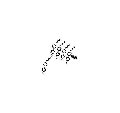 CCCCC[C@H]1CC[C@H](c2ccc([S])cc2)CC1.CCCCC[C@H]1CC[C@H](c2ccc([S])cc2)CC1.CCCCC[C@H]1CC[C@H](c2ccc([S])cc2)CC1.CCCCC[C@H]1CC[C@H](c2ccc([S])cc2)CC1.CCCCC[C@H]1CC[C@H](c2ccc([S])cc2)CC1.F.F.F.F.F